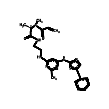 C=CC(=O)N(C)[C@@H](C)C(=O)NCCNc1cc(Nc2ncc(-c3ccccc3)s2)nc(C)n1